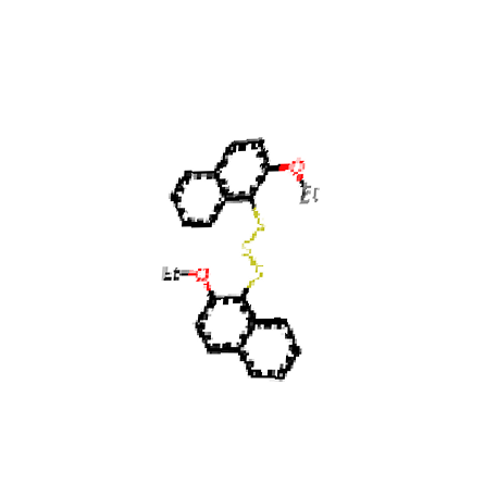 CCOc1ccc2ccccc2c1SSSc1c(OCC)ccc2ccccc12